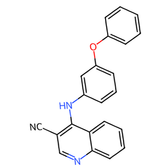 N#Cc1cnc2ccccc2c1Nc1cccc(Oc2ccccc2)c1